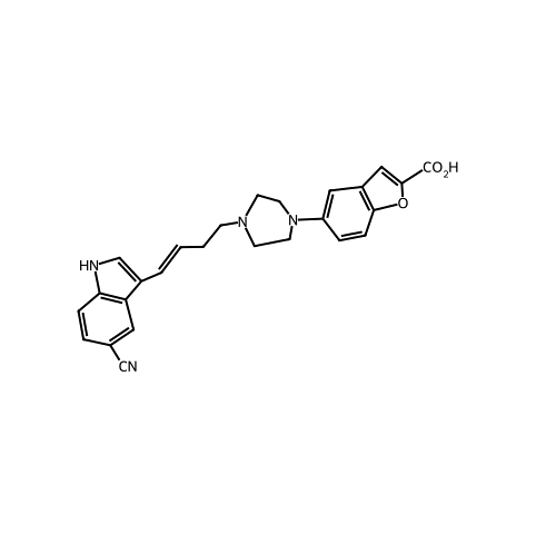 N#Cc1ccc2[nH]cc(/C=C/CCN3CCN(c4ccc5oc(C(=O)O)cc5c4)CC3)c2c1